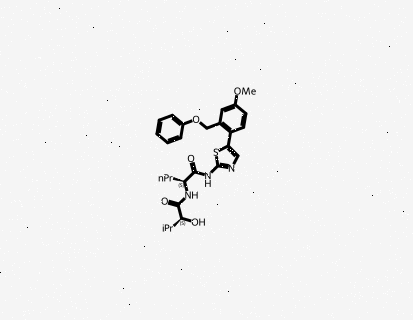 CCC[C@H](NC(=O)[C@@H](O)C(C)C)C(=O)Nc1ncc(-c2ccc(OC)cc2COc2ccccc2)s1